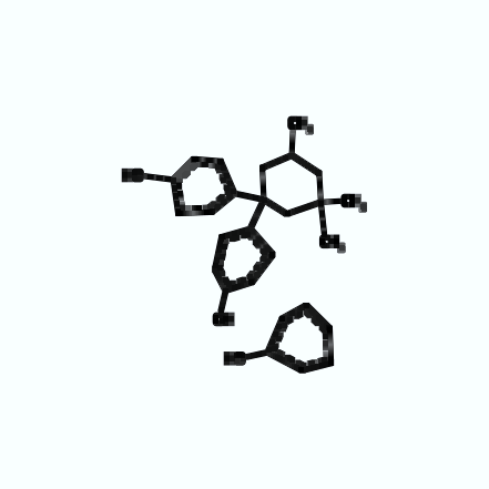 CC1CC(C)(C)CC(c2ccc(O)cc2)(c2ccc(O)cc2)C1.Oc1ccccc1